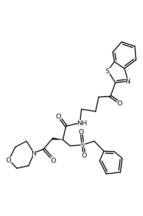 O=C(CCCNC(=O)[C@H](CC(=O)N1CCOCC1)CS(=O)(=O)Cc1ccccc1)c1nc2ccccc2s1